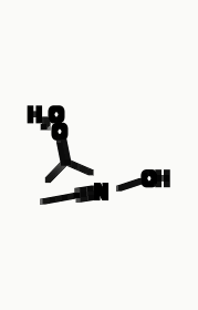 CC#N.CC(C)=O.CO.O